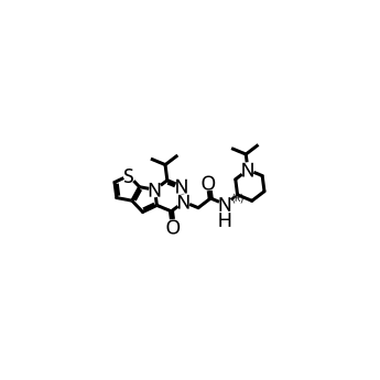 CC(C)c1nn(CC(=O)N[C@@H]2CCCN(C(C)C)C2)c(=O)c2cc3ccsc3n12